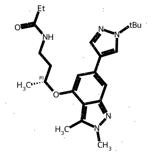 CCC(=O)NCC[C@@H](C)Oc1cc(-c2cnn(C(C)(C)C)c2)cc2nn(C)c(C)c12